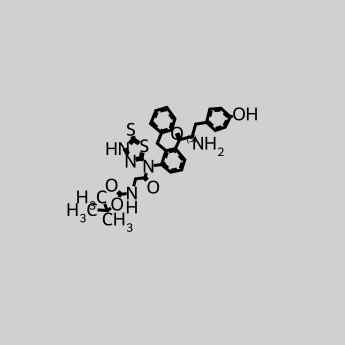 CC(C)(C)OC(=O)NCC(=O)N(c1n[nH]c(=S)s1)c1cccc(C(=O)[C@@H](N)Cc2ccc(O)cc2)c1Cc1ccccc1